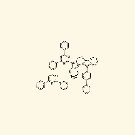 C=Cc1c(/C=C\C)n(-c2nc(-c3ccccc3)nc(-c3cccc(-c4cc(-c5ccccc5)nc(-c5ccccc5)n4)c3)n2)c2ccc3c4ccccc4n(-c4ccc(-c5ccccc5)cc4)c3c12